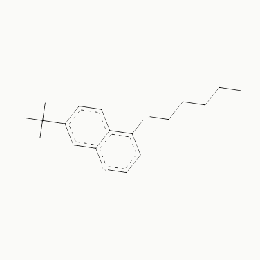 CCCCCSc1ccnc2cc(C(F)(F)F)ccc12